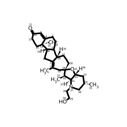 CC1=C2C[C@H]3C(CCC4=CC(=O)CC[C@@]43C)[C@@H]2CC[C@@]2(C1)O[C@@H]1C[C@H](C)CN(CCO)[C@H]1[C@H]2C